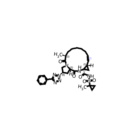 C[C@H]1CCCCC/C=C\[C@@H]2C[C@@]2(C(=O)NS(=O)(=O)C2(C)CC2)NC(=O)[C@@H]2C[C@@H](n3nnc(-c4ccccc4)n3)CN2C1=O